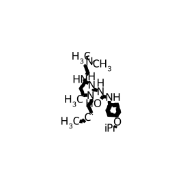 CC=C=CCCN1C(C)CC(NCCN(C)C)NC1NC(O)Nc1ccc(OC(C)C)cc1